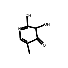 CC1=CN=C(O)C(O)C1=O